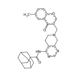 Cc1ccc2occ(CN3CCc4c(ncnc4NC(=O)C45CC6CC(CC(C6)C4)C5)C3)c(=O)c2c1